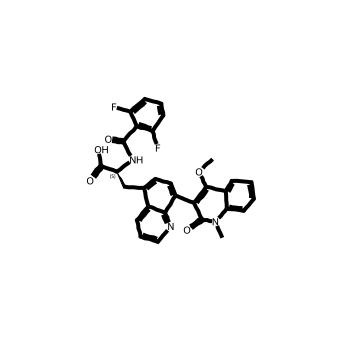 COc1c(-c2ccc(C[C@H](NC(=O)c3c(F)cccc3F)C(=O)O)c3cccnc23)c(=O)n(C)c2ccccc12